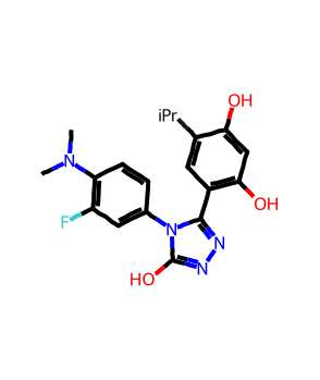 CC(C)c1cc(-c2nnc(O)n2-c2ccc(N(C)C)c(F)c2)c(O)cc1O